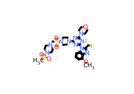 COc1cccc2c1nc(C(F)F)n2-c1nc(N2CCOCC2)nc(N2CCN(S(=O)(=O)CN3CCN(S(C)(=O)=O)CC3)CC2)n1